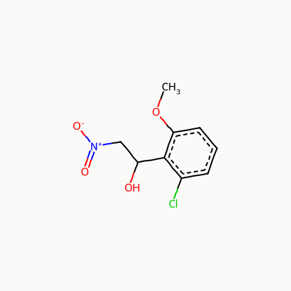 COc1cccc(Cl)c1C(O)C[N+](=O)[O-]